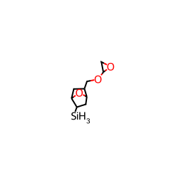 [SiH3]C1CC2OC1CC2COC1CO1